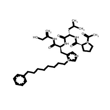 C=C(CO)NC(=O)[C@H](Cc1cncn1CCCCCCCCc1ccccc1)NC(=O)[C@H](CC(C)C)NC(=O)[C@@H]1CCCN1C(C)=O